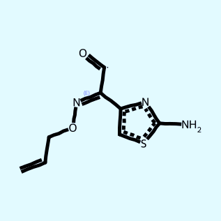 C=CCO/N=C(/[C]=O)c1csc(N)n1